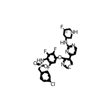 O=S(=O)(Cc1ccc(Cl)cc1)Nc1c(F)cc(Oc2ncccc2-c2ccnc(NC3CNC[C@@H](F)C3)n2)c(F)c1F